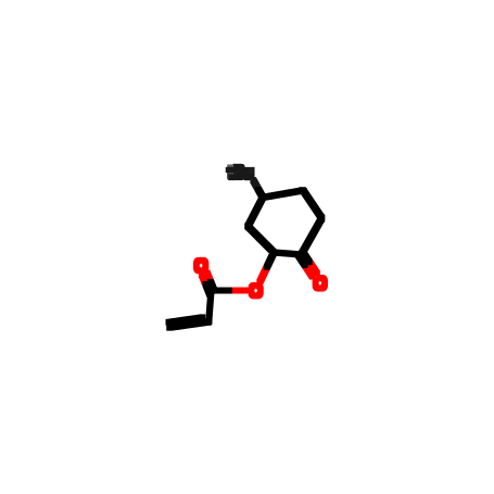 C=CC(=O)OC1CC(C(C)(C)C)CCC1=O